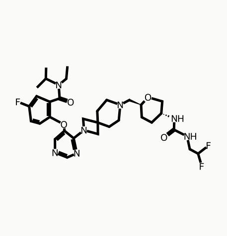 CCN(C(=O)c1cc(F)ccc1Oc1cncnc1N1CC2(CCN(C[C@@H]3CC[C@@H](NC(=O)NCC(F)F)CO3)CC2)C1)C(C)C